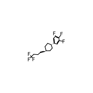 Fc1cc([C@H]2CC[C@H](C=CCCC(F)(F)F)CC2)cc(F)c1F